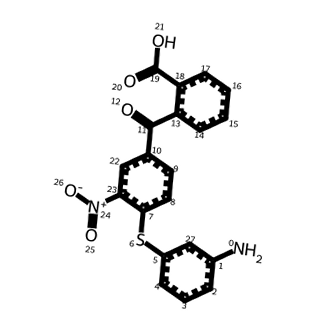 Nc1cccc(Sc2ccc(C(=O)c3ccccc3C(=O)O)cc2[N+](=O)[O-])c1